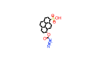 [N-]=[N+]=NC(=O)Oc1ccc2ccc3ccc(S(=O)(=O)O)c4ccc1c2c34